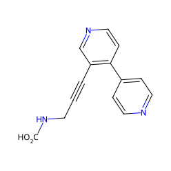 O=C(O)NCC#Cc1cnccc1-c1ccncc1